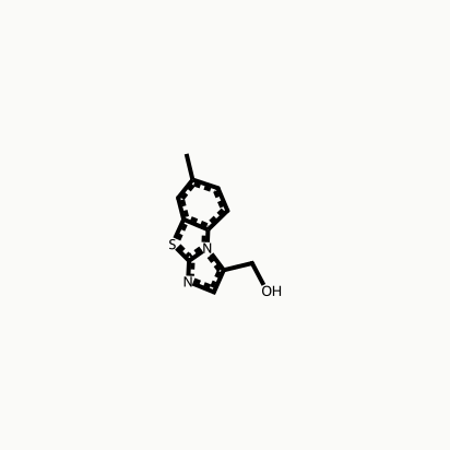 Cc1ccc2c(c1)sc1ncc(CO)n12